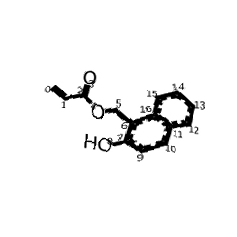 C=CC(=O)OCc1c(O)ccc2ccccc12